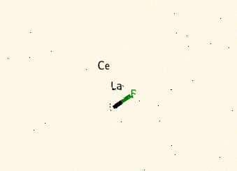 [C]F.[Ce].[La]